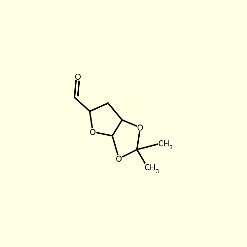 CC1(C)OC2CC(C=O)OC2O1